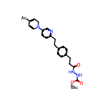 CC(=O)C1=CCN(c2ccc(CCc3ccc(CCC(=O)NNC(=O)OC(C)(C)C)cc3)nc2)C=C1